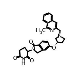 Cc1nc(CN2CC[C@H](Oc3ccc4c(c3)CN(C3CCC(=O)NC3=O)C4=O)C2)cc2ccccc12